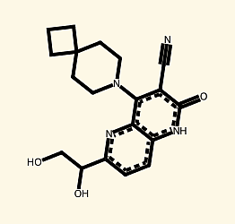 N#Cc1c(N2CCC3(CCC3)CC2)c2nc(C(O)CO)ccc2[nH]c1=O